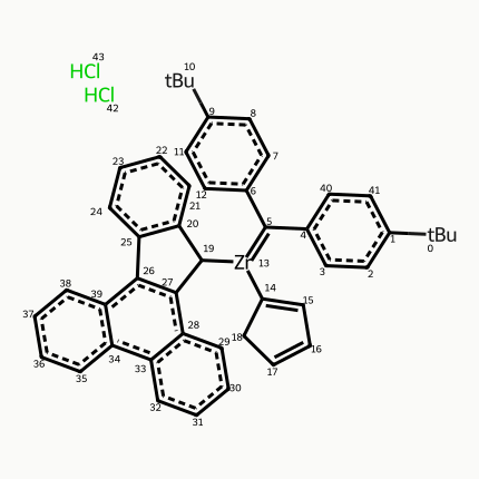 CC(C)(C)c1ccc([C](c2ccc(C(C)(C)C)cc2)=[Zr]([C]2=CC=CC2)[CH]2c3ccccc3-c3c2c2ccccc2c2ccccc32)cc1.Cl.Cl